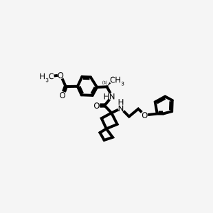 COC(=O)c1ccc([C@H](C)NC(=O)C2(NCCOc3ccccc3)CC3(CCC3)C2)cc1